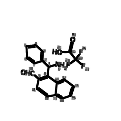 NC(c1ccccc1)c1c(C=O)ccc2ccccc12.O=C(O)C(F)(F)F